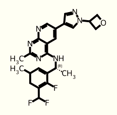 Cc1nc(N[C@H](C)C2=CC(C)CC(C(F)F)=C2F)c2cc(-c3cnn(C4COC4)c3)cnc2n1